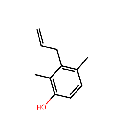 C=CCc1c(C)ccc(O)c1C